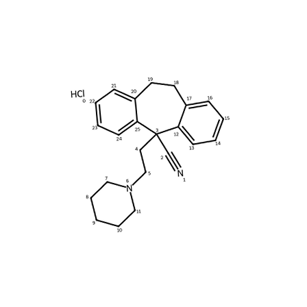 Cl.N#CC1(CCN2CCCCC2)c2ccccc2CCc2ccccc21